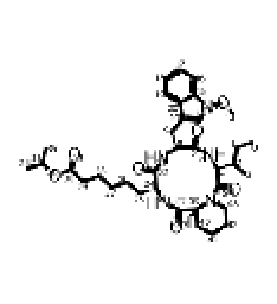 CCC(C)[C@@H]1NC(=O)[C@H](Cc2cn(OC)c3ccccc23)NC(=O)[C@H](CCCCCC(=O)OC(C)C)NC(=O)[C@H]2CCCCN2C1=O